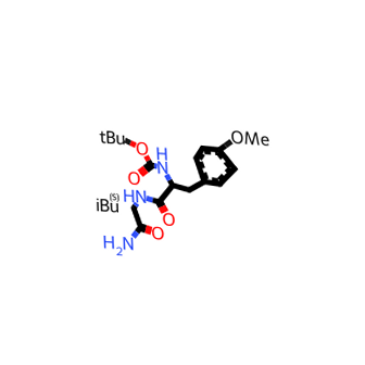 CC[C@H](C)C(NC(=O)C(Cc1ccc(OC)cc1)NC(=O)OC(C)(C)C)C(N)=O